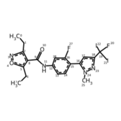 CCc1noc(CC)c1C(=O)Nc1ccc(-c2cc(C(F)(I)I)nn2C)c(F)c1